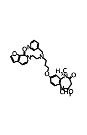 CN1C(=O)CC(=O)N(C)c2cc(OCCCN(CCn3ccc4ccoc4c3=O)Cc3cccnc3)ccc21